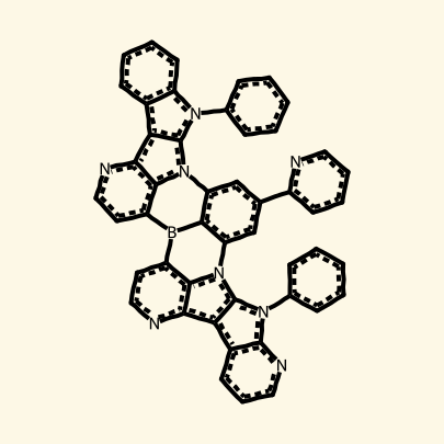 c1ccc(-n2c3ccccc3c3c4nccc5c4n(c32)-c2cc(-c3ccccn3)cc3c2B5c2ccnc4c5c6cccnc6n(-c6ccccc6)c5n-3c24)cc1